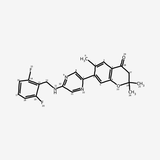 Cc1cc2c(cc1-c1cnc(NCc3c(F)cccc3F)cn1)OC(C)(C)CC2=O